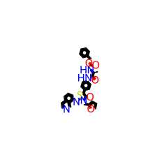 C[C@H](NC(=O)OCc1ccccc1)C(=O)Nc1ccc(C2S/C(=N\c3cccc4ccncc34)N(CC3=CCCO3)C2=O)cc1